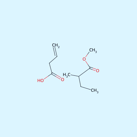 C=CCC(=O)O.CCC(C)C(=O)OC